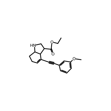 CCOC(=O)C1CNC2CCC=C(C#Cc3cccc(OC)c3)C21